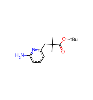 CC(C)(C)OC(=O)C(C)(C)Cc1cccc(N)n1